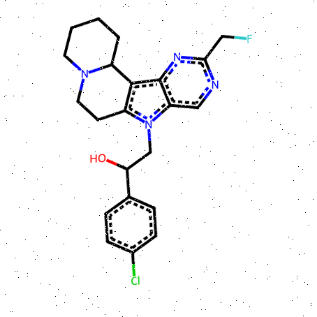 OC(Cn1c2c(c3nc(CF)ncc31)C1CCCCN1CC2)c1ccc(Cl)cc1